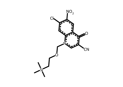 C[Si](C)(C)CCOCn1cc(C#N)c(=O)c2cc([N+](=O)[O-])c(Cl)cc21